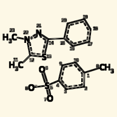 Cc1ccc(S(=O)(=O)[O-])cc1.Cc1sc(-c2ccccc2)n[n+]1C